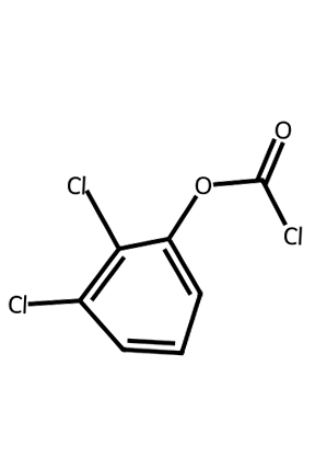 O=C(Cl)Oc1cccc(Cl)c1Cl